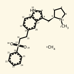 C.CN1CCC[C@@H]1Cc1c[nH]c2ccc(CCS(=O)(=O)c3ccccc3)cc12